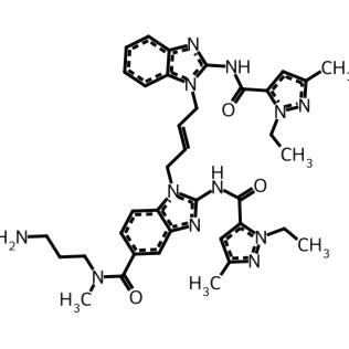 CCn1nc(C)cc1C(=O)Nc1nc2ccccc2n1C/C=C/Cn1c(NC(=O)c2cc(C)nn2CC)nc2cc(C(=O)N(C)CCCN)ccc21